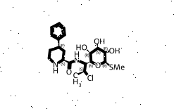 CS[C@H]1O[C@H](C(NC(=O)[C@@H]2C[C@H](c3ccccc3)CCN2)[C@H](C)Cl)[C@H](O)[C@H](O)[C@H]1O